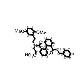 COc1ccc(OC)c(CCN(CCC(=O)O)C(=O)c2ccccc2-c2ccccc2C(=O)NCc2ccccc2)c1